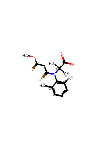 COC(=S)CC(=S)N(c1c(C)cccc1C)C(C)(C)C(=O)O